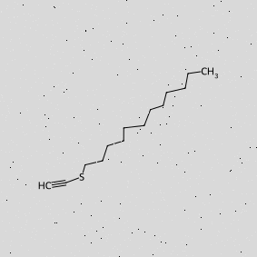 C#CSCCCCCCCCCCCC